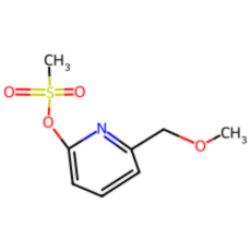 COCc1cccc(OS(C)(=O)=O)n1